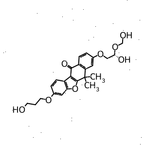 CC1(C)c2cc(OC[C@@H](O)OCO)ccc2C(=O)c2c1oc1cc(OCCCO)ccc21